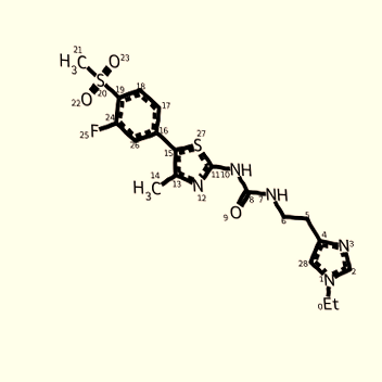 CCn1cnc(CCNC(=O)Nc2nc(C)c(-c3ccc(S(C)(=O)=O)c(F)c3)s2)c1